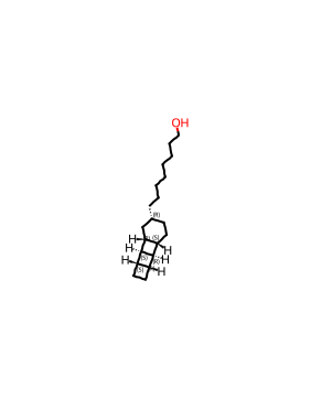 OCCCCCCCC[C@@H]1CC[C@H]2[C@@H](C1)[C@@H]1[C@H]3CC[C@H]3[C@H]21